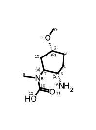 CO[C@@H]1CC[C@H](N)[C@@H](N(C)C(=O)O)C1